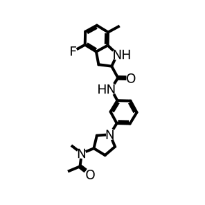 CC(=O)N(C)C1CCN(c2cccc(NC(=O)C3Cc4c(F)ccc(C)c4N3)c2)C1